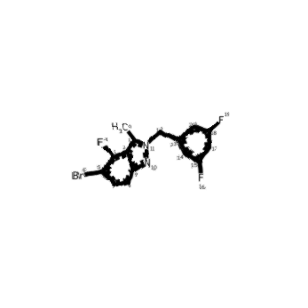 Cc1c2c(F)c(Br)ccc2nn1Cc1cc(F)cc(F)c1